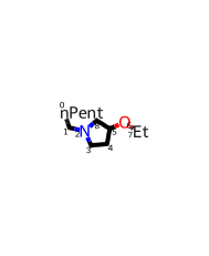 CCCCCCN1CCC(OCC)C1